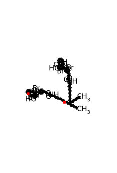 CCCCCCC(CCCCCCCCCCCNC(=O)OCCc1cc(Br)c(Nc2ccc(O)c3c2C(=O)c2ccccc2C3=O)c(Br)c1)C(CCCCCC)CCCCCCCCCCCNC(=O)OCCc1cc(Br)c(Nc2ccc(O)c3c2C(=O)c2ccccc2C3=O)c(Br)c1